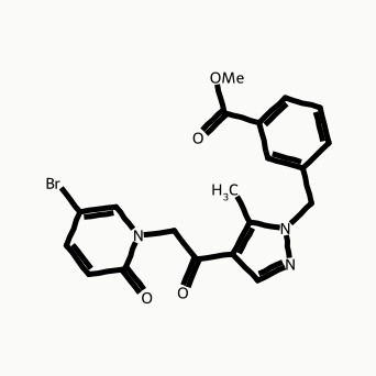 COC(=O)c1cccc(Cn2ncc(C(=O)Cn3cc(Br)ccc3=O)c2C)c1